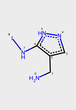 NCc1cn[nH]c1NI